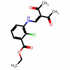 CCOC(=O)c1cccc(NC=C(C(C)=O)C(C)=O)c1Cl